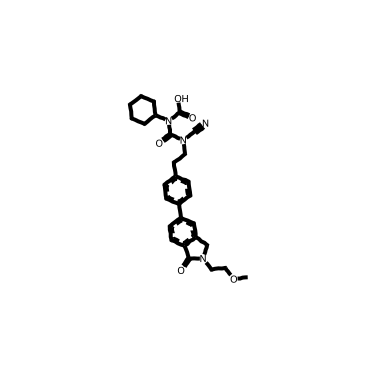 COCCN1Cc2cc(-c3ccc(CCN(C#N)C(=O)N(C(=O)O)C4CCCCC4)cc3)ccc2C1=O